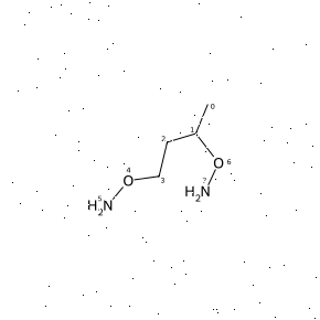 CC(CCON)ON